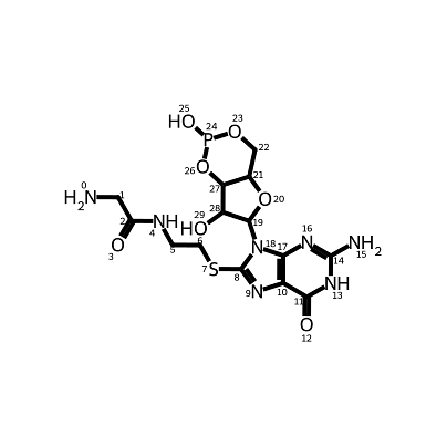 NCC(=O)NCCSc1nc2c(=O)[nH]c(N)nc2n1C1OC2COP(O)OC2C1O